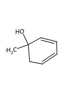 [CH2]C1(O)C=CC=CC1